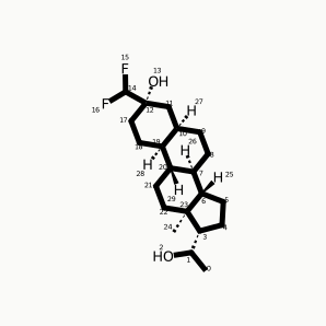 CC(O)[C@H]1CC[C@H]2[C@@H]3CC[C@@H]4C[C@](O)(C(F)F)CC[C@@H]4[C@H]3CC[C@]12C